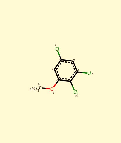 O=C(O)Oc1cc(Cl)cc(Cl)c1Cl